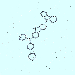 CC1(C)c2cc(N(c3ccccc3)c3ccc(-c4ccccc4)cc3)ccc2-c2ccc(-n3c4ccccc4c4ccccc43)cc21